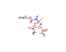 C=CC(=O)OCC(C)(COC(=O)C=C)NC(=O)OCCCCCC